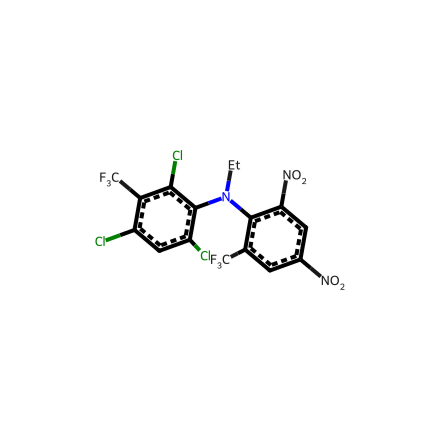 CCN(c1c([N+](=O)[O-])cc([N+](=O)[O-])cc1C(F)(F)F)c1c(Cl)cc(Cl)c(C(F)(F)F)c1Cl